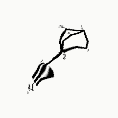 N#CC12CC(C1)C2